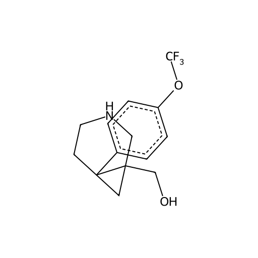 OCC12CNCCC1(c1ccc(OC(F)(F)F)cc1)C2